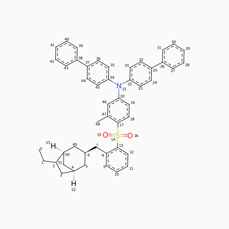 CCC1C[C@@H]2C[C@H](Cc3ccccc3S(=O)(=O)c3ccc(N(c4ccc(-c5ccccc5)cc4)c4ccc(-c5ccccc5)cc4)cc3C)C[C@H]1C2